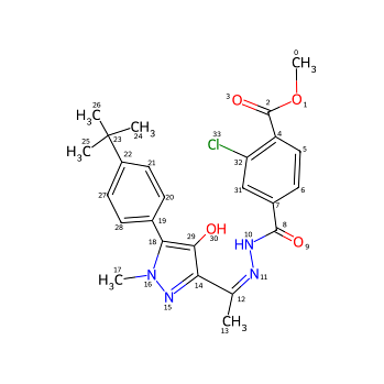 COC(=O)c1ccc(C(=O)NN=C(C)c2nn(C)c(-c3ccc(C(C)(C)C)cc3)c2O)cc1Cl